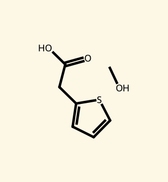 CO.O=C(O)Cc1cccs1